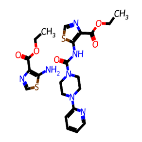 CCOC(=O)c1ncsc1N.CCOC(=O)c1ncsc1NC(=O)N1CCN(c2ccccn2)CC1